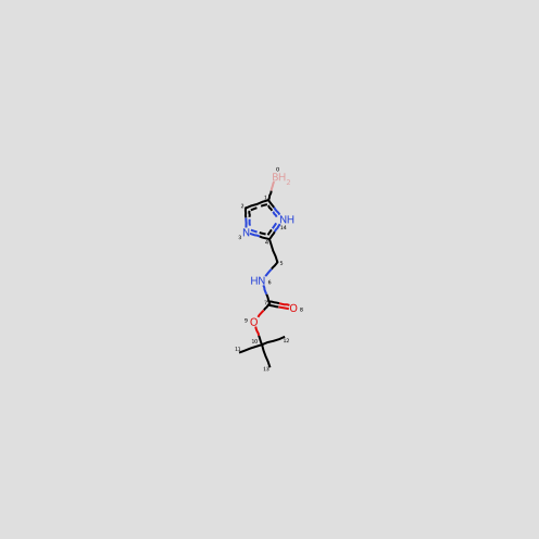 Bc1cnc(CNC(=O)OC(C)(C)C)[nH]1